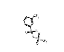 O=S(=O)(CS(=O)(=O)C(F)(F)F)c1cccc(C(F)(F)F)c1